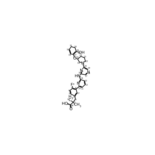 CC(C)(Cc1ccc(F)c(-c2cccc(Nc3cncc(N4CCCC(OC5=C(O)CCC=C5)C4)n3)n2)c1)C(=O)O